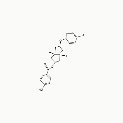 C[C@@]12C[C@@H](Oc3ccc(F)nc3)C[C@@H]1CN(CC(=O)c1ccc(O)cc1)C2